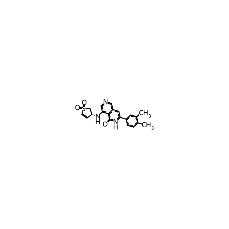 Cc1ccc(-c2cc3cncc(N[C@@H]4C=CS(=O)(=O)C4)c3c(=O)[nH]2)cc1C